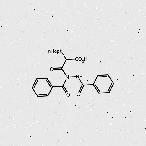 CCCCCCCC(C(=O)O)C(=O)N(NC(=O)c1ccccc1)C(=O)c1ccccc1